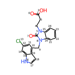 O=C(O)CCn1c(=O)n(Cc2cc(Cl)cc3[nH]ccc23)c2ccccc21